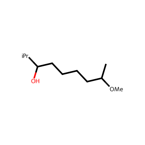 COC(C)CCCCC(O)C(C)C